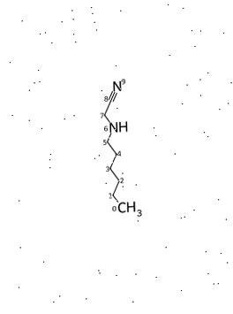 CCCCCCNCC#N